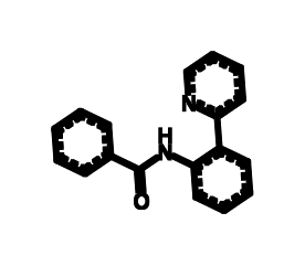 O=C(Nc1ccccc1-c1ccccn1)c1ccccc1